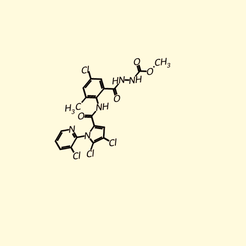 COC(=O)NNC(=O)c1cc(Cl)cc(C)c1NC(=O)c1cc(Cl)c(Cl)n1-c1ncccc1Cl